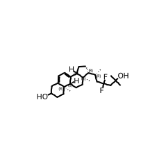 C[C@H](CC(F)(F)CC(C)(C)O)[C@H]1CC[C@H]2C3=CC=C4CC(O)CC[C@]4(C)[C@H]3CC[C@]12C